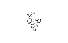 CC(C)(C)OC(=O)N1CCO[C@@H](c2ccc(Cl)c(Cl)c2)[C@H](CSc2ccccc2C#N)C1